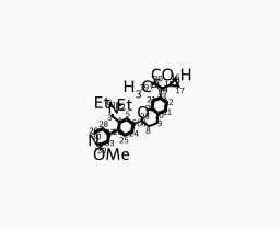 CCN(CC)Cc1cc([C@@H]2CCc3ccc([C@H](C4CC4)[C@H](C)C(=O)O)cc3O2)ccc1-c1ccnc(OC)c1